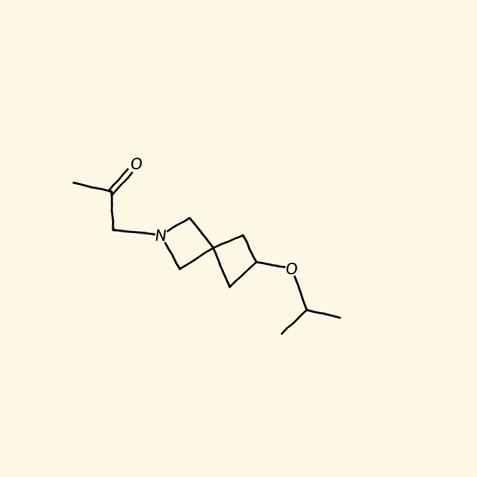 CC(=O)CN1CC2(CC(OC(C)C)C2)C1